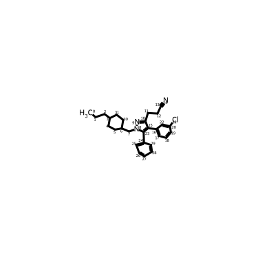 CCCC1CCC(Cn2nc(CCC#N)c(-c3cccc(Cl)c3)c2-c2ccccc2)CC1